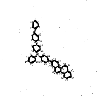 c1ccc(-c2ccc(-c3ccc(N(c4ccccc4)c4ccc(-c5ccc6c(ccc7c8ccccc8ccc67)c5)cc4)cc3)cc2)cc1